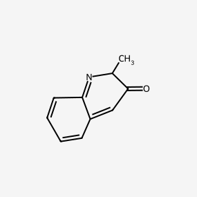 CC1N=c2ccccc2=CC1=O